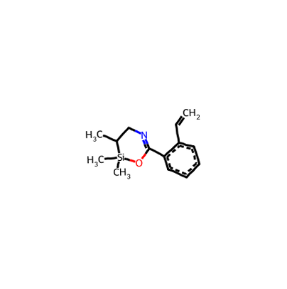 C=Cc1ccccc1C1=NCC(C)[Si](C)(C)O1